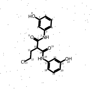 O=C(Nc1cccc(O)c1)C(CCCl)C(=O)Nc1cccc(O)c1